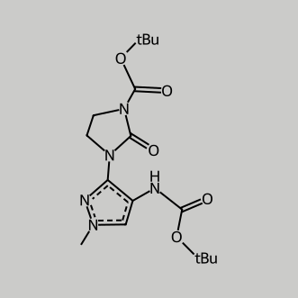 Cn1cc(NC(=O)OC(C)(C)C)c(N2CCN(C(=O)OC(C)(C)C)C2=O)n1